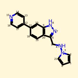 c1ccn(NCc2n[nH]c3cc(-c4ccncc4)ccc23)c1